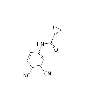 N#Cc1ccc(NC(=O)C2CC2)cc1C#N